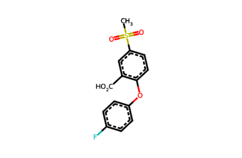 CS(=O)(=O)c1ccc(Oc2ccc(F)cc2)c(C(=O)O)c1